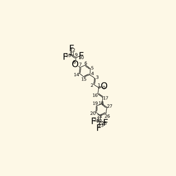 O=C(C=Cc1ccc(OC(F)=C(F)F)cc1)C=Cc1ccc(C(F)(F)F)cc1